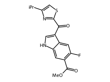 COC(=O)c1cc2[nH]cc(C(=O)c3nc(C(C)C)cs3)c2cc1F